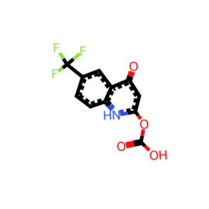 O=C(O)Oc1cc(=O)c2cc(C(F)(F)F)ccc2[nH]1